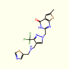 Cc1cc2c(=O)[nH]c(Cn3cc(CNCc4cncs4)c(C(F)(F)F)n3)nc2s1